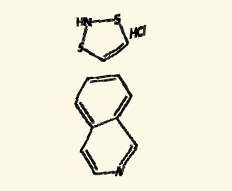 C1=CSNS1.Cl.c1ccc2cnccc2c1